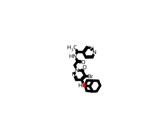 CC(NC(=O)Cn1ncc(NC2C3CCCC2CCC3)c(Br)c1=O)c1ccnnc1